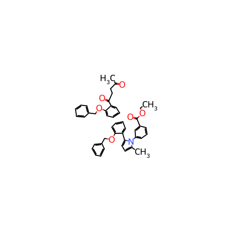 CC(=O)CCC(=O)c1ccccc1OCc1ccccc1.CCOC(=O)c1cccc(-n2c(C)ccc2-c2ccccc2OCc2ccccc2)c1